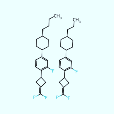 CCCC[C@H]1CC[C@H](c2ccc(C3CC(=C(F)F)C3)c(F)c2)CC1.CCC[C@H]1CC[C@H](c2ccc(C3CC(=C(F)F)C3)c(F)c2)CC1